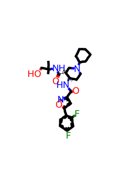 CC(C)(CO)NC(=O)[C@@H]1CN(C2CCCCC2)CC[C@H]1NC(=O)c1cc(-c2ccc(F)cc2F)on1